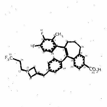 Cc1c(C2=C(c3ccc(C=C4CN(CCC(F)(F)F)C4)cc3)c3ccc(C(=O)O)cc3CCC2)ccc(F)c1F